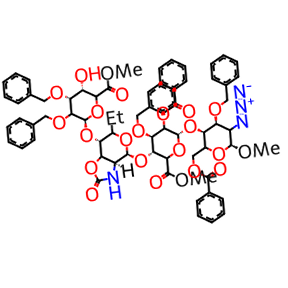 CCC1O[C@@H](O[C@H]2C(C(=O)OC)O[C@@H](O[C@@H]3C(COC(=O)c4ccccc4)O[C@H](OC)C(N=[N+]=[N-])[C@@H]3OCc3ccccc3)C(OC(=O)c3ccccc3)[C@@H]2OCc2ccccc2)[C@H]2NC(=O)OC2[C@@H]1O[C@@H]1OC(C(=O)OC)[C@@H](O)[C@@H](OCc2ccccc2)C1OCc1ccccc1